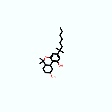 CCCCCCC(C)(C)c1cc(O)c2c(c1)OC(C)(C)C1CC[C@@H](O)CC21